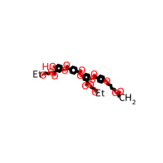 C=CC(=O)OCCCCOc1ccc(C(=O)Oc2ccc(OC(=O)C3CCC(C(=O)Oc4ccc(O)c(C(=O)OCCOCC)c4)CC3)cc2C(=O)OCCOCC)cc1